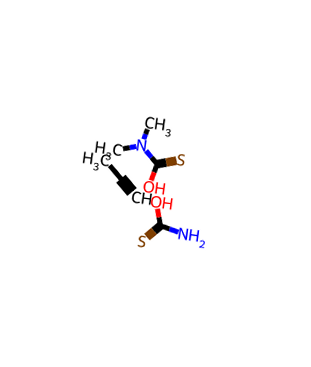 C#CC.CN(C)C(O)=S.NC(O)=S